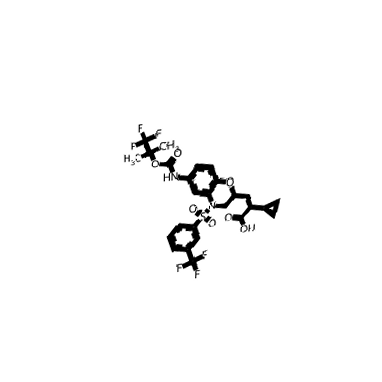 CC(C)(OC(=O)Nc1ccc2c(c1)N(S(=O)(=O)c1cccc(C(F)(F)F)c1)CC(CC(C(=O)O)C1CC1)O2)C(F)(F)F